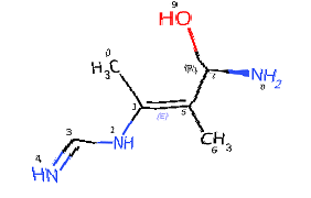 C/C(NC=N)=C(/C)[C@H](N)O